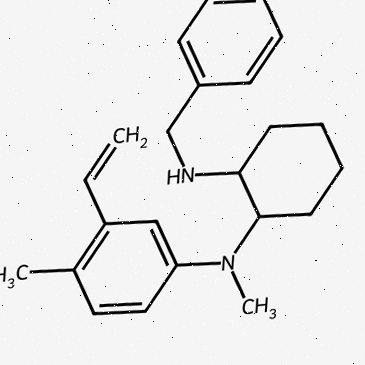 C=Cc1cc(N(C)C2CCCCC2NCc2ccccc2)ccc1C